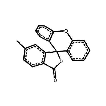 Cc1ccc2c(c1)C1(OC2=O)c2ccccc2Oc2ccccc21